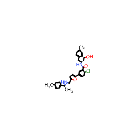 Cc1ccc([C@@H](C)NCc2ccc(C3=CCC(Cl)C(C(=O)N[C@@H](CCO)Cc4ccc(C#N)cc4)=C3)o2)cc1